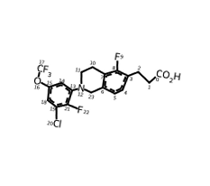 O=C(O)CCc1ccc2c(c1F)CCN(c1cc(OC(F)(F)F)cc(Cl)c1F)C2